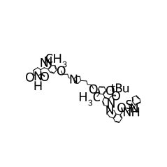 Cc1c(OCCCC2CCN(CCCOc3ccc4c(C5CCC(=O)NC5=O)nn(C)c4c3)CC2)cccc1-c1ccc(N2CCc3cccc(C(=O)Nc4nc5ccccc5s4)c3C2)nc1C(=O)OC(C)(C)C